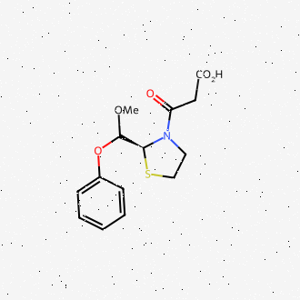 COC(Oc1ccccc1)[C@@H]1SCCN1C(=O)CC(=O)O